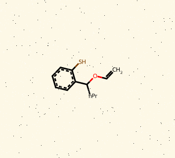 C=COC(CCC)c1ccccc1S